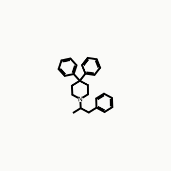 CC(Cc1ccccc1)N1CCC(c2ccccc2)(c2ccccc2)CC1